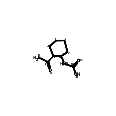 NC(=O)[C@H]1CCCCC1NC(=O)O